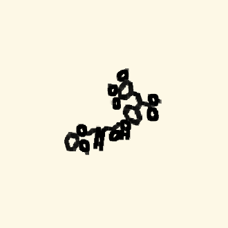 COC(=O)/C(=C/c1cc(OC)c(OC)c(OC)c1)c1ccc(OCC(O)CNCCOc2ccccc2OC)cc1